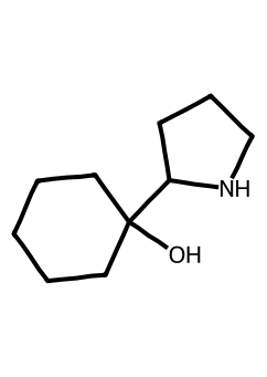 OC1(C2CCCN2)CCCCC1